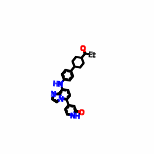 CCC(=O)C1CCC(c2ccc(Nc3ccc(-c4cc[nH]c(=O)c4)n4ccnc34)cc2)CC1